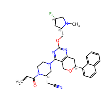 C=CC(=O)N1CCN(c2nc(OC[C@@H]3C[C@H](F)CN3C)nc3c2CO[C@@H](c2cccc4ccccc24)C3)C[C@@H]1CC#N